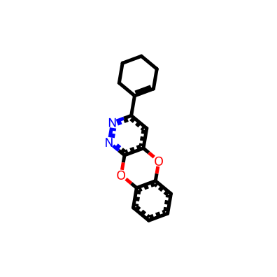 C1=C(c2cc3c(nn2)Oc2ccccc2O3)CCCC1